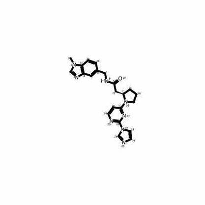 Cn1cnc2cc(CNC(=O)C[C@H]3CCCN3c3ccnc(-n4ccnc4)n3)ccc21